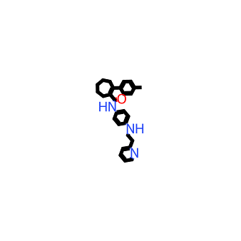 Cc1ccc(C2=C(C(=O)Nc3ccc(NCCc4ccccn4)cc3)CCCCC2)cc1